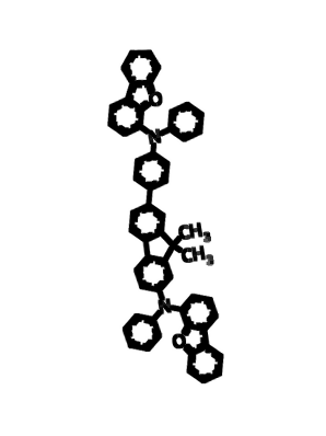 CC1(C)c2cc(-c3ccc(N(c4ccccc4)c4cccc5c4oc4ccccc45)cc3)ccc2-c2ccc(N(c3ccccc3)c3cccc4c3oc3ccccc34)cc21